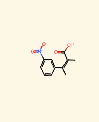 CC(C(=O)O)=C(C)c1cccc([N+](=O)[O-])c1